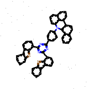 c1ccc2c3c(ccc2c1)-c1cccc2cccc(c12)N3c1ccc(-c2nc(-c3cccc4c3sc3ccccc34)nc(-c3cccc4c3sc3ccccc34)n2)cc1